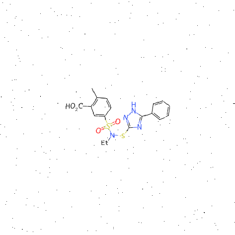 CCN(Sc1n[nH]c(-c2ccccc2)n1)S(=O)(=O)c1ccc(C)c(C(=O)O)c1